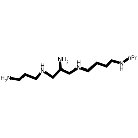 CCCNCCCCNCC(N)CNCCCN